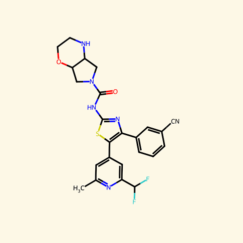 Cc1cc(-c2sc(NC(=O)N3CC4NCCOC4C3)nc2-c2cccc(C#N)c2)cc(C(F)F)n1